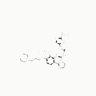 COc1c(OCCCN2CCOCC2)ccc2c1N=C(NC(=O)Oc1coc(N)n1)N1CCN=C21